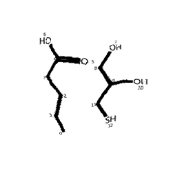 CCCCC(=O)O.OCC(O)CS